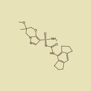 COC1(C)COc2c(S(N)(=O)=NC(=O)Nc3c4c(cc5c3CCC5)CCC4)cnn2C1